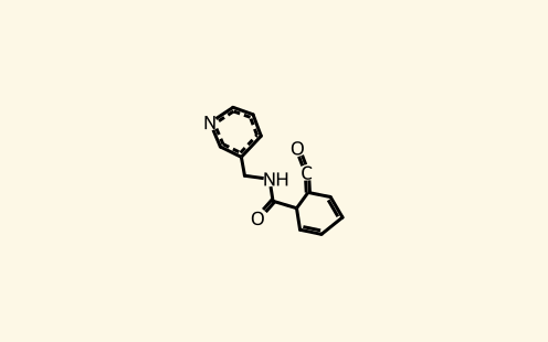 O=C=C1C=CC=CC1C(=O)NCc1cccnc1